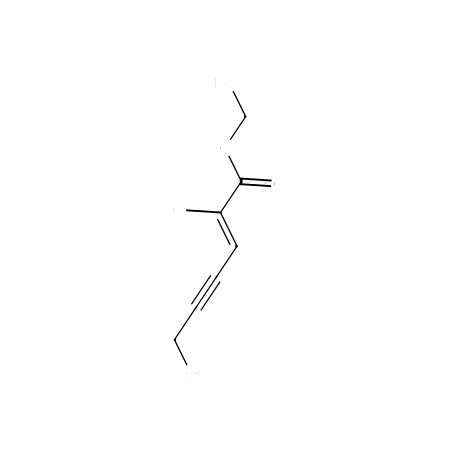 CCOC(=O)C(Cl)=CC#CCO